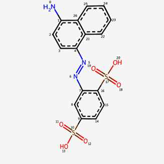 Nc1ccc(/N=N/c2cc(S(=O)(=O)O)ccc2S(=O)(=O)O)c2ccccc12